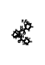 O=C(NC12CC3CC(C1)CC(NC(=O)c1ccnc(C(F)(F)F)n1)(C3)C2)c1cnccn1